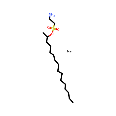 CCCCCCCCCCCCCCC(C)OS(=O)(=O)CCN.[Na]